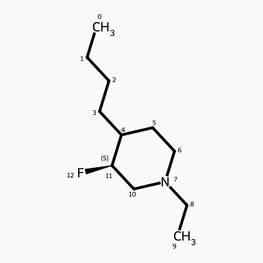 CCCCC1CCN(CC)C[C@H]1F